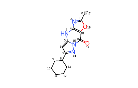 CC(C)c1nc2[nH]c3cc(C4CCCCC4)nn3c(=O)c2o1